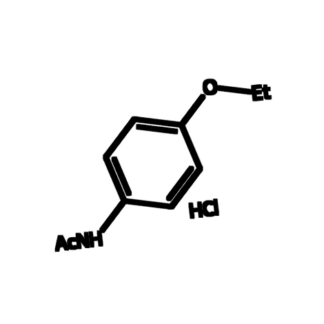 CCOc1ccc(NC(C)=O)cc1.Cl